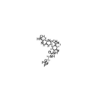 CNc1cc2nc(C)c(-c3cc(NC(=O)NCCOC(F)(F)F)c(F)cc3C)cc2cn1